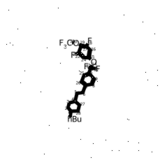 CCCCC1CCC(CCc2ccc(C(F)(F)Oc3cc(F)c(OC(F)(F)F)c(F)c3)cc2)CC1